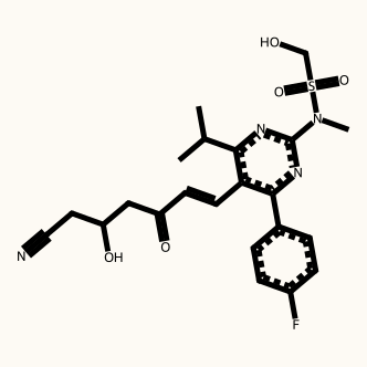 CC(C)c1nc(N(C)S(=O)(=O)CO)nc(-c2ccc(F)cc2)c1C=CC(=O)CC(O)CC#N